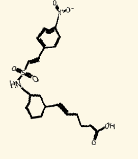 O=C(O)CCCC=CC1CCCC(NS(=O)(=O)C=Cc2ccc([N+](=O)[O-])cc2)C1